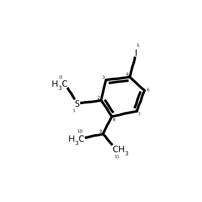 CSc1cc(I)ccc1C(C)C